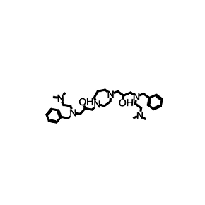 CN(C)CCN(Cc1ccccc1)CC(O)CN1CCCN(CC(O)CN(CCN(C)C)Cc2ccccc2)CC1